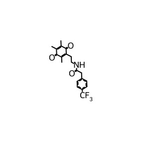 CC1=C(C)C(=O)C(CCNC(=O)Cc2ccc(C(F)(F)F)cc2)=C(C)C1=O